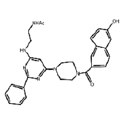 CC(=O)NCCNc1cc(N2CCN(C(=O)c3ccc4cc(O)ccc4c3)CC2)nc(-c2ccccc2)n1